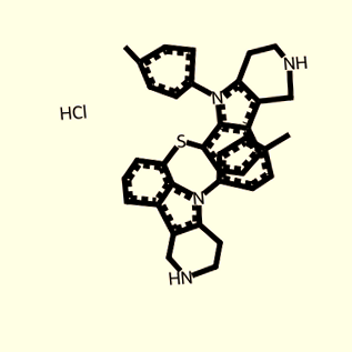 Cc1ccc(-n2c3c(c4cccc(Sc5cccc6c7c(n(-c8ccc(C)cc8)c56)CCNC7)c42)CNCC3)cc1.Cl